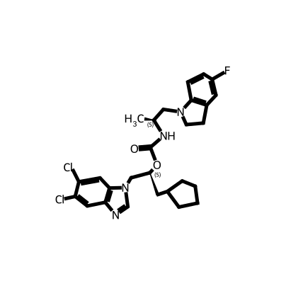 C[C@@H](CN1CCc2cc(F)ccc21)NC(=O)O[C@@H](CC1CCCC1)Cn1cnc2cc(Cl)c(Cl)cc21